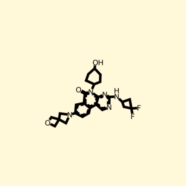 O=c1c2cc(N3CC4(COC4)C3)ccc2c2cnc(NC3CC(F)(F)C3)nc2n1C1CCC(O)CC1